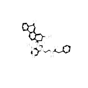 CC1C=c2c(ccc3c2=CC(=O)c2ccccc2-3)C(C)(N2CN(CCNC(=O)Cc3ccccc3)c3cncnc32)C1=O